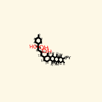 CC1CCC(C(O)(O)CC(O)CC2CCC3C(C2C)C(C)C2C(C)C4(C)C(C)C(C(C)C)C(C)CC4(C)C(C)C2(C)C3C)CC1